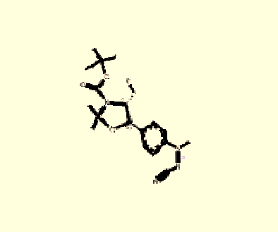 C/S(=N/C#N)c1ccc([C@H]2OC(C)(C)N(C(=O)OC(C)(C)C)[C@@H]2CF)cc1